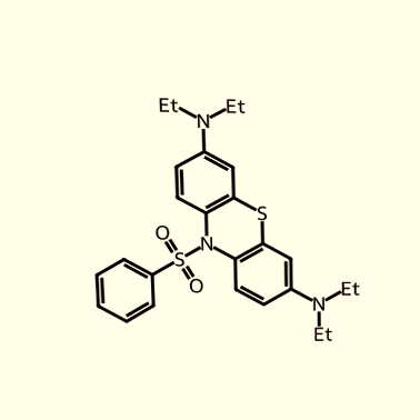 CCN(CC)c1ccc2c(c1)Sc1cc(N(CC)CC)ccc1N2S(=O)(=O)c1ccccc1